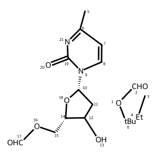 CC(C)(C)OC=O.CCC.Cc1ccn([C@@H]2CC(O)[C@H](COC=O)O2)c(=O)n1